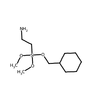 CO[Si](CCN)(OC)OCC1CCCCC1